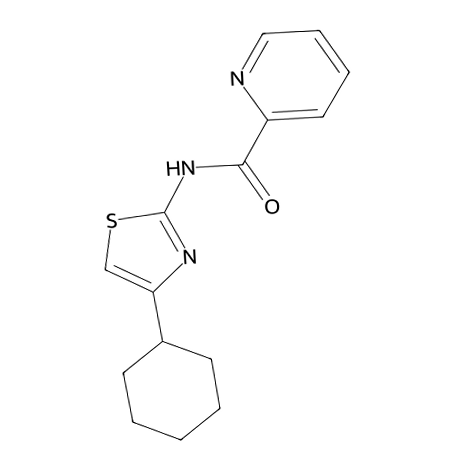 O=C(Nc1nc(C2CCCCC2)cs1)c1ccccn1